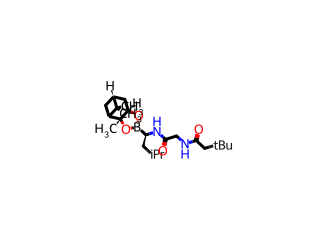 CC(C)C[C@H](NC(=O)CNC(=O)CC(C)(C)C)B1O[C@@H]2C[C@@H]3CC(C3(C)C)[C@]2(C)O1